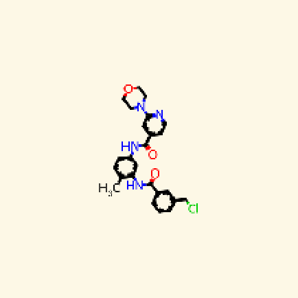 Cc1ccc(NC(=O)c2ccnc(N3CCOCC3)c2)cc1NC(=O)c1cccc(CCl)c1